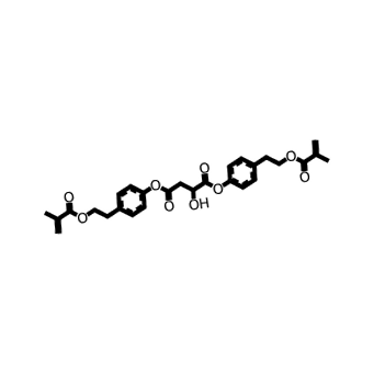 C=C(C)C(=O)OCCc1ccc(OC(=O)CC(O)C(=O)Oc2ccc(CCOC(=O)C(=C)C)cc2)cc1